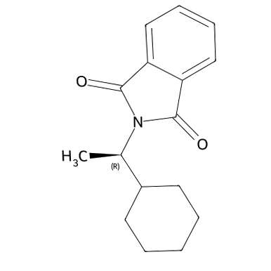 C[C@H](C1CCCCC1)N1C(=O)c2ccccc2C1=O